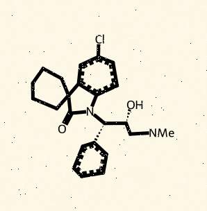 CNC[C@@H](O)[C@H](c1ccccc1)N1C(=O)C2(CCCCC2)c2cc(Cl)ccc21